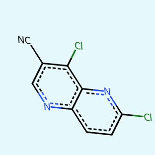 N#Cc1cnc2ccc(Cl)nc2c1Cl